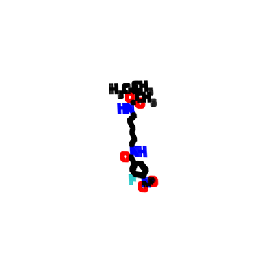 CC(C)(C)OC(=O)NCCCCCCNC(=O)c1ccc([N+](=O)[O-])c(F)c1